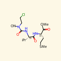 COC(=O)[C@H](CCSC)NC(=O)[C@@H](NC(=O)N(CCCl)N=O)C(C)C